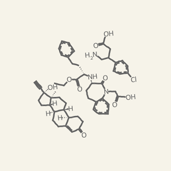 C#C[C@]1(O)CC[C@H]2[C@@H]3CCC4=CC(=O)CC[C@@H]4[C@H]3CC[C@@]21C.CCOC(=O)[C@H](CCc1ccccc1)N[C@H]1CCc2ccccc2N(CC(=O)O)C1=O.NCC(CC(=O)O)c1ccc(Cl)cc1